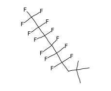 CC(C)(C)CC(F)(F)C(F)(F)C(F)(F)C(F)(F)C(F)(F)C(F)(F)F